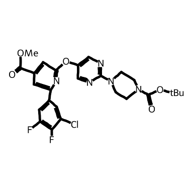 COC(=O)c1cc(Oc2cnc(N3CCN(C(=O)OC(C)(C)C)CC3)nc2)nc(-c2cc(F)c(F)c(Cl)c2)c1